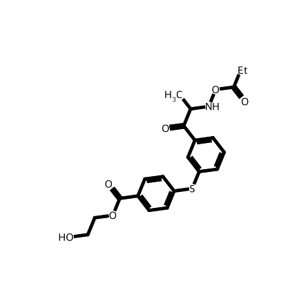 CCC(=O)ONC(C)C(=O)c1cccc(Sc2ccc(C(=O)OCCO)cc2)c1